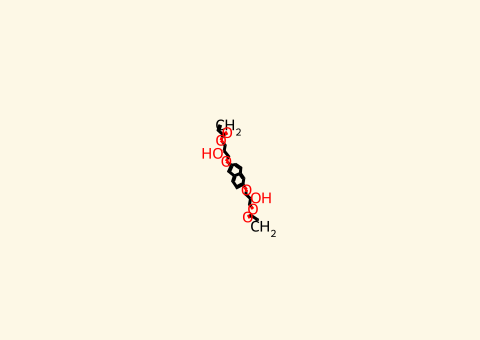 C=CC(=O)OCC(O)COc1ccc2cc(OCC(O)COC(=O)C=C)ccc2c1